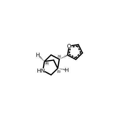 c1coc([C@H]2C[C@H]3C[C@@H]2CN3)c1